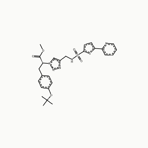 COC(=O)C(Cc1ccc(OC(C)(C)C)cc1)n1cc(CNS(=O)(=O)c2ccc(-c3ccccn3)s2)nn1